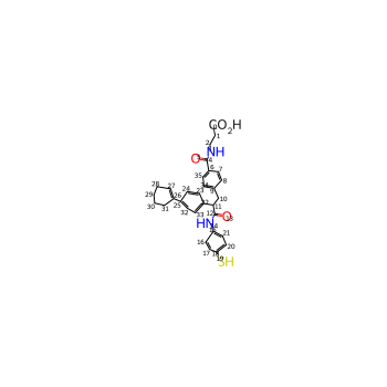 O=C(O)CCNC(=O)c1ccc(CC(C(=O)Nc2ccc(S)cc2)c2ccc(C3=CCCCC3)cc2)cc1